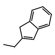 C[CH]C1=Cc2ccccc2C1